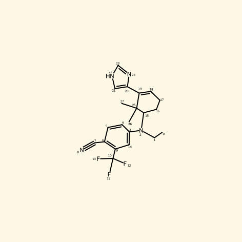 CCN(c1ccc(C#N)c(C(F)(F)F)c1)C1CCC=C(c2c[nH]cn2)C1(C)C